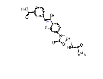 CC(=O)NC[C@H]1CN(c2ccc(/C(Br)=C/c3cccc(C(=O)O)c3)c(F)c2)C(=O)O1